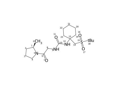 C[C@@H]1CCCN1C(=O)CNC(=O)NC1(CS(=O)(=O)C(C)(C)C)CCCCC1